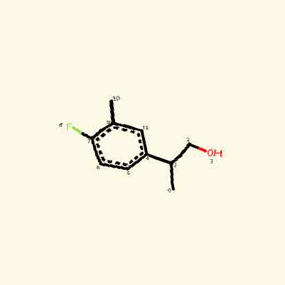 C[C](CO)c1ccc(F)c(C)c1